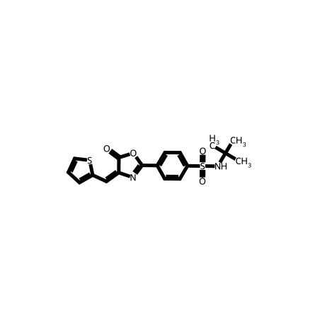 CC(C)(C)NS(=O)(=O)c1ccc(C2=NC(=Cc3cccs3)C(=O)O2)cc1